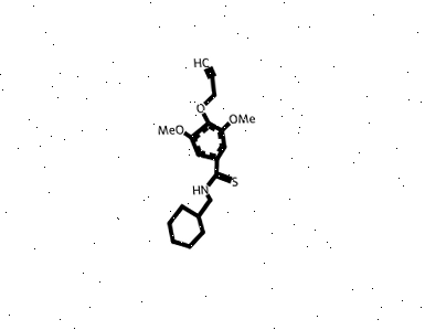 C#CCOc1c(OC)cc(C(=S)NCC2CCCCC2)cc1OC